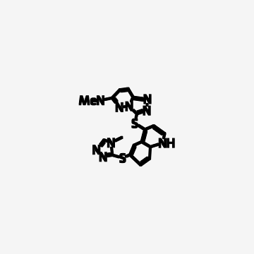 CNc1ccc2nnc(SC3=C4C=C(Sc5nncn5C)C=CC4NC=C3)n2n1